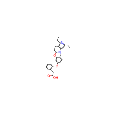 CCc1cc2c(c(CC)n1)CCC(=O)N2Cc1ccc(Oc2ccccc2CC(=O)O)cc1